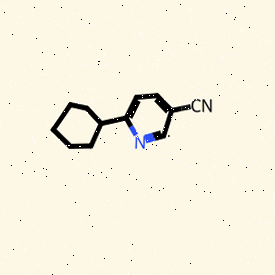 N#Cc1[c]nc(C2CCCCC2)cc1